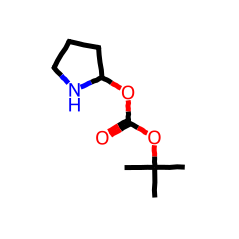 CC(C)(C)OC(=O)OC1CCCN1